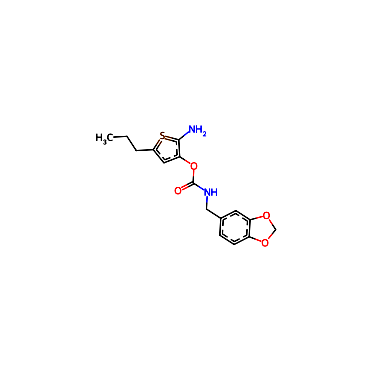 CCCc1cc(OC(=O)NCc2ccc3c(c2)OCO3)c(N)s1